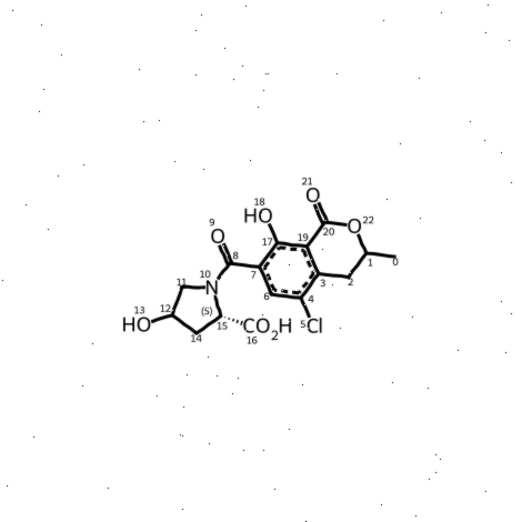 CC1Cc2c(Cl)cc(C(=O)N3CC(O)C[C@H]3C(=O)O)c(O)c2C(=O)O1